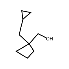 OCC1(CC2CC2)CCC1